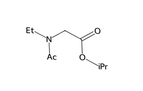 CCN(CC(=O)OC(C)C)C(C)=O